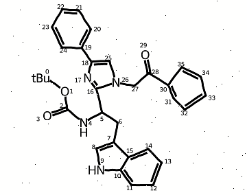 CC(C)(C)OC(=O)NC(Cc1c[nH]c2ccccc12)c1nc(-c2ccccc2)cn1CC(=O)c1ccccc1